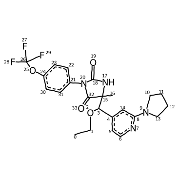 CCOC(c1ccnc(N2CCCC2)c1)C1(C)NC(=O)N(c2ccc(OC(F)(F)F)cc2)C1=O